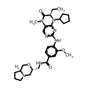 CC[C@@H]1C(=O)N(C)c2cnc(Nc3ccc(C(=O)NC[C@@H]4CN5CCC[C@H]5CO4)cc3OC)nc2N1C1CCCC1